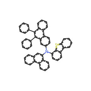 c1ccc(-c2c(-c3ccccc3)c3cc(N(c4cc5ccccc5c5ccccc45)c4cccc5c4sc4ccccc45)ccc3c3ccccc23)cc1